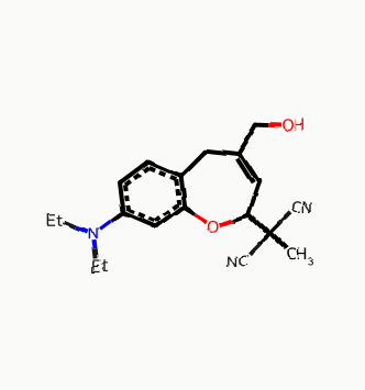 CCN(CC)c1ccc2c(c1)OC(C(C)(C#N)C#N)C=C(CO)C2